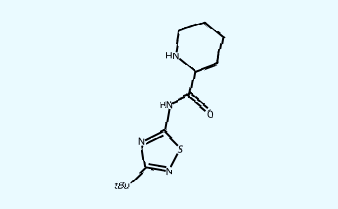 CC(C)(C)c1nsc(NC(=O)C2CCCCN2)n1